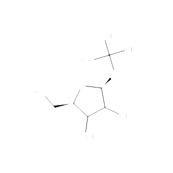 CC(C)(C)O[C@@H]1O[C@H](CO)C(O)C1O